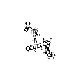 CC[C@@]1(O)C(=O)OCc2c1cc1n(c2=O)Cc2c-1nc1cc(F)c(C)c3c1c2[C@@H](NC(=O)CNC(=O)[C@H](Cc1ccccc1)NC(=O)CNC(=O)CNC(=O)[C@@H](CC(=O)O)NC(=O)OCC1c2ccccc2-c2ccccc21)CC3